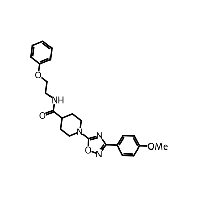 COc1ccc(-c2noc(N3CCC(C(=O)NCCOc4ccccc4)CC3)n2)cc1